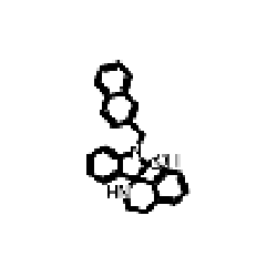 O=C1N(Cc2ccc3ccccc3c2)c2ccccc2C12NCCc1cccc(O)c12